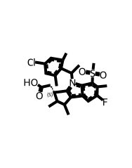 Cc1cc(Cl)cc(C)c1C(C)n1c2c(c3cc(F)c(C)c(S(C)(=O)=O)c31)C(C)C(C)[C@@H]2CC(=O)O